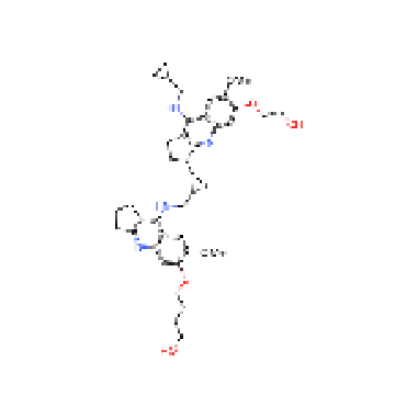 COc1cc2c(NCC3CC3)c3c(nc2cc1OCCO)C(C1CC1CNc1c2c(nc4cc(OCCCCO)c(OC)cc14)CCC2)CC3